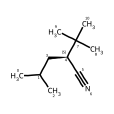 CC(C)C[C@H](C#N)C(C)(C)C